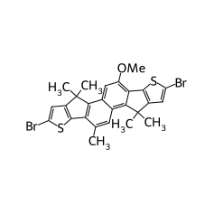 COc1cc2c3c(c(C)cc2c2c1-c1sc(Br)cc1C2(C)C)-c1sc(Br)cc1C3(C)C